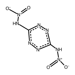 O=[N+]([O-])Nc1nnc(N[N+](=O)[O-])nn1